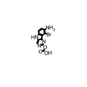 Nc1ccc2[nH]c3cnc(OC(=O)O)nc3c2c1Br